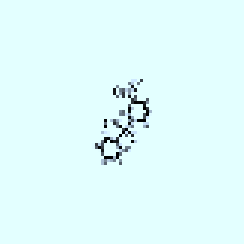 O=[N+]([O-])c1cccc(C(Cl)(Cl)c2ccccc2)c1